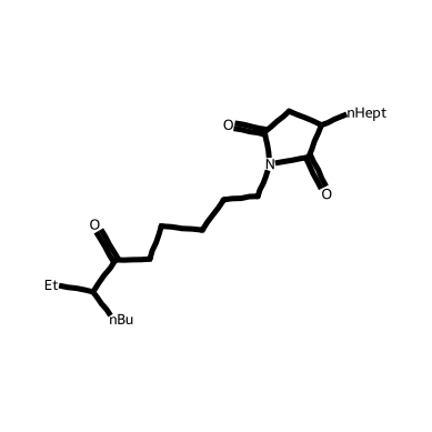 CCCCCCCC1CC(=O)N(CCCCCC(=O)C(CC)CCCC)C1=O